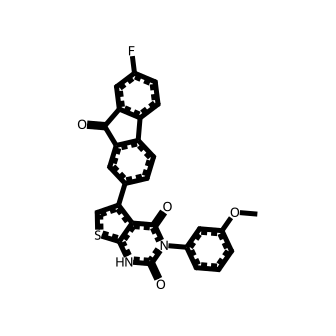 COc1cccc(-n2c(=O)[nH]c3scc(-c4ccc5c(c4)C(=O)c4cc(F)ccc4-5)c3c2=O)c1